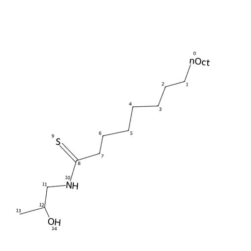 CCCCCCCCCCCCCCCC(=S)NCC(C)O